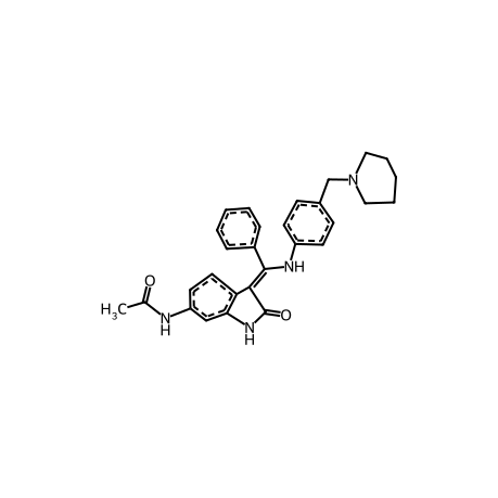 CC(=O)Nc1ccc2c(c1)NC(=O)/C2=C(\Nc1ccc(CN2CCCCC2)cc1)c1ccccc1